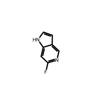 Fc1cc2[nH]ccc2cn1